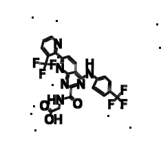 O=C(O)CNC(=O)c1nc(Nc2ccc(C(F)(F)F)cc2)c2ccc(-c3ncccc3C(F)(F)F)nc2n1